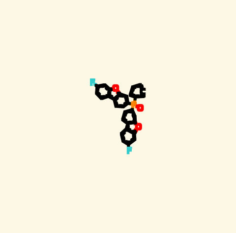 O=P(c1ccccc1)(c1ccc2c(c1)oc1cc(F)ccc12)c1ccc2c(c1)oc1cc(F)ccc12